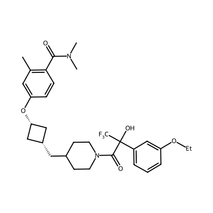 CCOc1cccc(C(O)(C(=O)N2CCC(C[C@H]3C[C@@H](Oc4ccc(C(=O)N(C)C)c(C)c4)C3)CC2)C(F)(F)F)c1